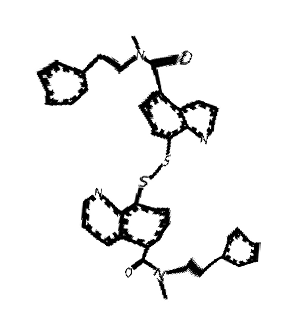 CN(CCc1ccccc1)C(=O)c1ccc(SSc2ccc(C(=O)N(C)CCc3ccccc3)c3cccnc23)c2ncccc12